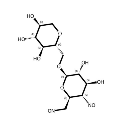 O=NC[C@H]1O[C@@H](OC[C@H]2OC[C@H](O)[C@@H](O)[C@@H]2O)[C@H](O)[C@@H](O)[C@@H]1N=O